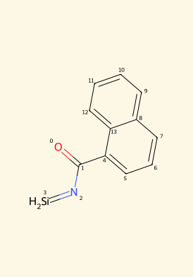 O=C(N=[SiH2])c1cccc2ccccc12